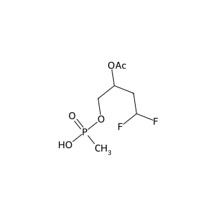 CC(=O)OC(COP(C)(=O)O)CC(F)F